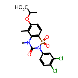 Cc1c(OC(C)C(=O)O)ccc2c1N(C)C(=O)N(c1ccc(Cl)c(Cl)c1)S2(=O)=O